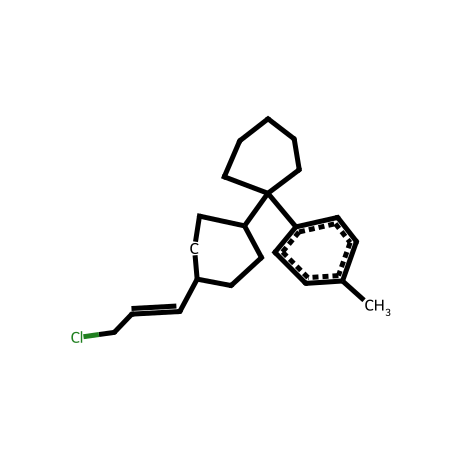 Cc1ccc(C2(C3CCC(C=CCCl)CC3)CCCCC2)cc1